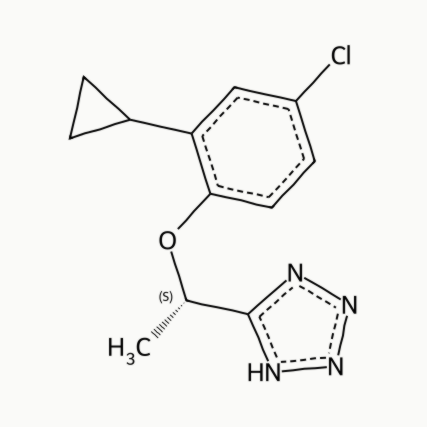 C[C@H](Oc1ccc(Cl)cc1C1CC1)c1nnn[nH]1